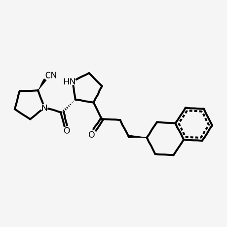 N#C[C@@H]1CCCN1C(=O)[C@@H]1NCCC1C(=O)CC[C@@H]1CCc2ccccc2C1